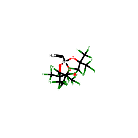 C=[CH][Sn]([O]C(C(F)(F)F)(C(F)(F)F)C(F)(F)F)([O]C(C(F)(F)F)(C(F)(F)F)C(F)(F)F)[O]C(C(F)(F)F)(C(F)(F)F)C(F)(F)F